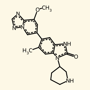 COc1cc(-c2cc3[nH]c(=O)n(C4CCCNC4)c3cc2C)cn2ncnc12